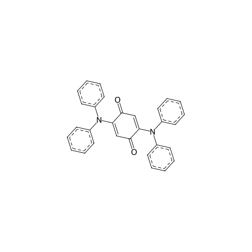 O=C1C=C(N(c2ccccc2)c2ccccc2)C(=O)C=C1N(c1ccccc1)c1ccccc1